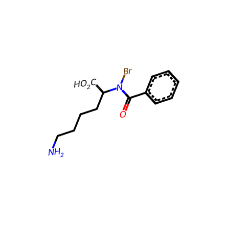 NCCCCC(C(=O)O)N(Br)C(=O)c1ccccc1